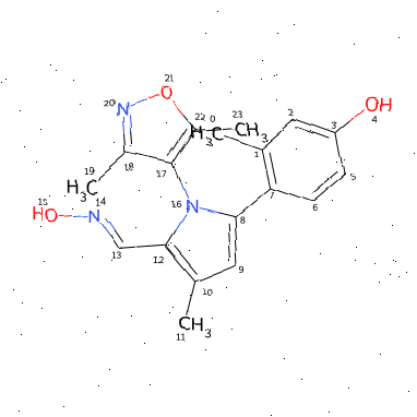 Cc1cc(O)ccc1-c1cc(C)c(C=NO)n1-c1c(C)noc1C